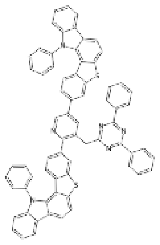 c1ccc(-c2nc(Cc3cc(-c4ccc5c(c4)sc4ccc6c7ccccc7n(-c7ccccc7)c6c45)cnc3-c3ccc4c(c3)sc3ccc5c6ccccc6n(-c6ccccc6)c5c34)nc(-c3ccccc3)n2)cc1